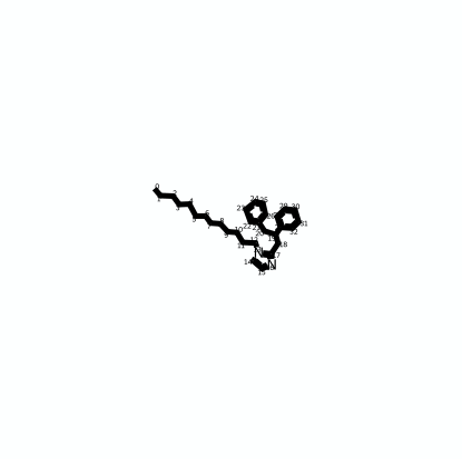 CCCCCCCCCCCCCn1ccnc1CC(Cc1ccccc1)c1ccccc1